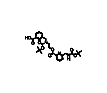 CC(C)(C)OC(=O)NCc1cccc(C(=O)OCCN(Cc2cccc(C(=O)O)n2)C(=O)OC(C)(C)C)n1